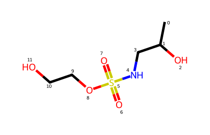 CC(O)CNS(=O)(=O)OCCO